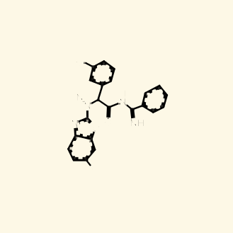 N=C(NC(=O)C(c1cccc(Cl)c1)N(N)c1nc2ccc(Cl)cc2o1)c1ccccc1